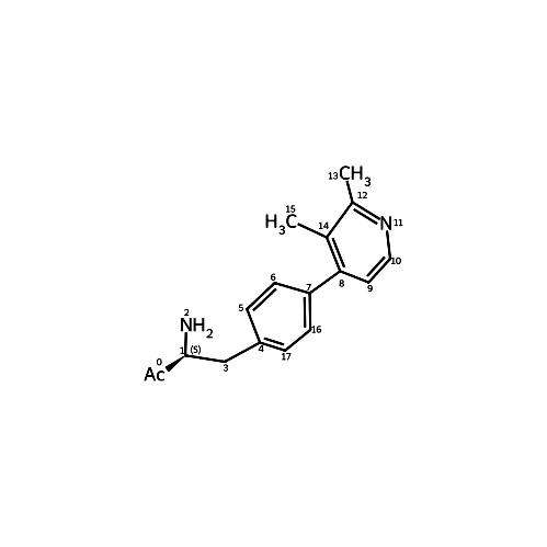 CC(=O)[C@@H](N)Cc1ccc(-c2ccnc(C)c2C)cc1